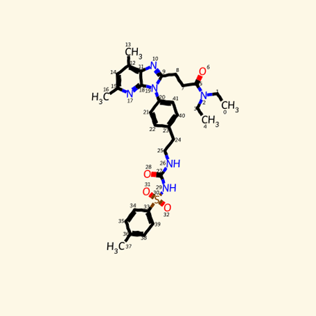 CCN(CC)C(=O)CCc1nc2c(C)cc(C)nc2n1-c1ccc(CCNC(=O)NS(=O)(=O)c2ccc(C)cc2)cc1